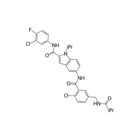 CC(C)C(=O)NCc1ccc(Cl)c(C(=O)Nc2ccc3c(c2)cc(C(=O)Nc2ccc(F)c(Cl)c2)n3C(C)C)c1